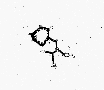 CCC(=O)N(C)Cc1ccccc1